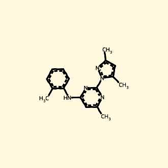 Cc1cc(Nc2ccccc2C)nc(-n2nc(C)cc2C)n1